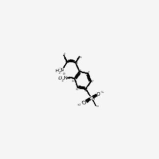 CC(N)=C(C)c1ccc(S(C)(=O)=O)cc1[N+](=O)[O-]